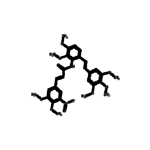 COc1cc(/C=C/c2ccc(OC)c(OC)c2NC(=O)/C=C/c2cc(OC)c(OC)c([N+](=O)[O-])c2)cc(OC)c1OC